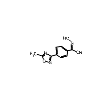 N#C/C(=N/O)c1ccc(-c2noc(C(F)(F)F)n2)cc1